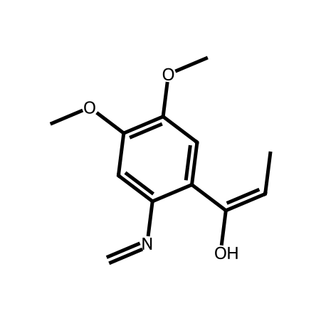 C=Nc1cc(OC)c(OC)cc1/C(O)=C\C